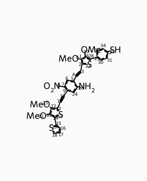 COc1c(C#Cc2cc([N+](=O)[O-])c(C#Cc3sc(-c4cccs4)c(OC)c3OC)cc2N)sc(-c2ccc(S)cc2)c1OC